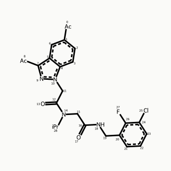 CC(=O)c1ccc2c(c1)c(C(C)=O)nn2CC(=O)N(CC(=O)NCc1cccc(Cl)c1F)C(C)C